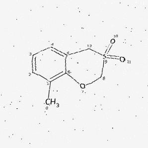 Cc1cccc2c1OCS(=O)(=O)C2